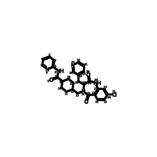 O=C(Nc1ccccn1)C1CCC(CN2C(=O)c3ccc(Cl)cc3NC(=O)C2Cc2cccnc2)CC1